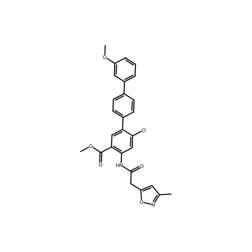 COC(=O)c1cc(-c2ccc(-c3cccc(OC)c3)cc2)c(Cl)cc1NC(=O)Cc1cc(C)no1